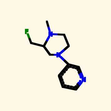 CN1CCN(c2cccnc2)CC1CF